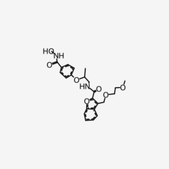 COCCOCc1c(C(=O)NCC(C)Oc2ccc(C(=O)NO)cc2)oc2ccccc12